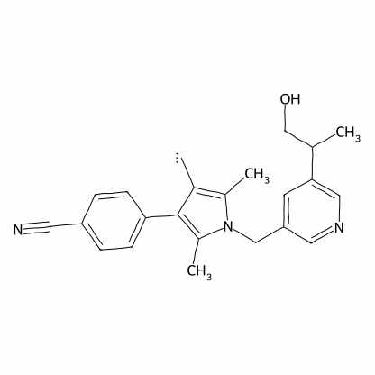 [C]c1c(-c2ccc(C#N)cc2)c(C)n(Cc2cncc(C(C)CO)c2)c1C